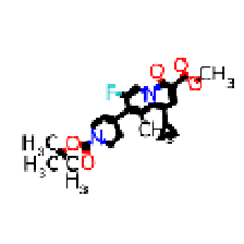 COC(=O)c1cc(C2CC2)c2c(C)c(C3=CCN(C(=O)OC(C)(C)C)CC3)c(F)cn2c1=O